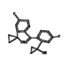 N#CC1(c2cc(F)ccc2C(=O)c2ccc(F)cc2C2(C#N)CC2)CC1